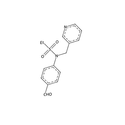 CCS(=O)(=O)N(Cc1cccnc1)c1ccc(C=O)cc1